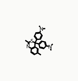 CC1=Nc2ccc(C)cc2C(c2ccc(N(C)C)cc2)(c2ccc(N(C)C)cc2)S1